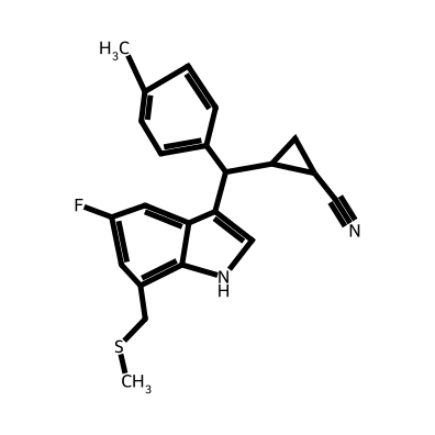 CSCc1cc(F)cc2c(C(c3ccc(C)cc3)C3CC3C#N)c[nH]c12